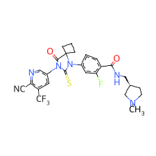 CN1CC[C@H](CNC(=O)c2ccc(N3C(=S)N(c4cnc(C#N)c(C(F)(F)F)c4)C(=O)C34CCC4)cc2F)C1